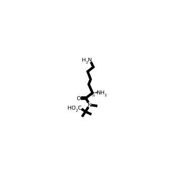 CN(C(=O)[C@@H](N)CCCCN)C(C)(C)C(=O)O